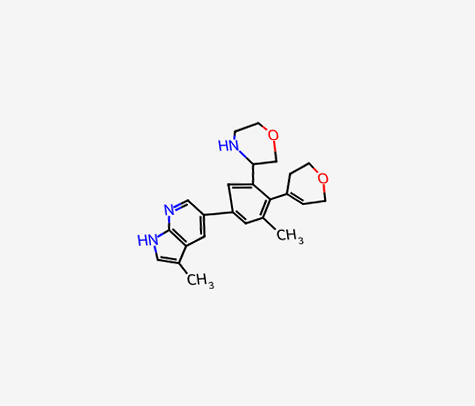 Cc1cc(-c2cnc3[nH]cc(C)c3c2)cc(C2COCCN2)c1C1=CCOCC1